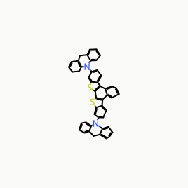 C1=CC2=C(CC1)N(c1ccc3c(c1)sc1c4sc5cc(N6c7ccccc7Cc7ccccc76)ccc5c4c4ccccc4c31)c1ccccc1C2